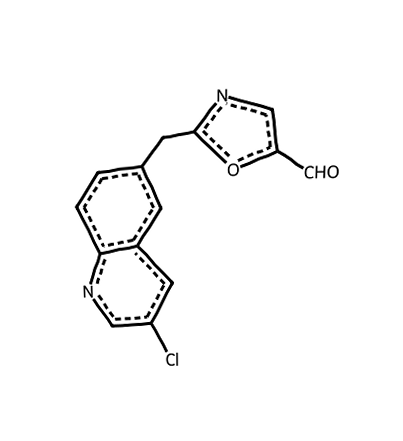 O=Cc1cnc(Cc2ccc3ncc(Cl)cc3c2)o1